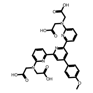 COc1ccc(-c2cc(-c3cccc(N(CC(=O)O)CC(=O)O)n3)nc(-c3cccc(N(CC(=O)O)CC(=O)O)n3)c2)cc1